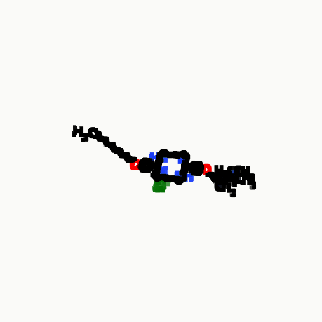 CCCCCCCCCCCCOc1ccc(-c2c3nc(cc4ccc([nH]4)c(-c4ccc(OCCC[N+](C)(C)CCC[N+](C)(C)C)cc4)c4nc(cc5ccc2[nH]5)C=C4)C=C3)cc1.[Cl-].[Cl-]